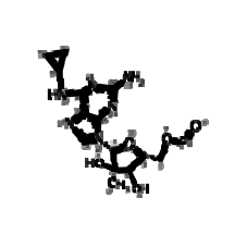 C[C@@]1(O)[C@H](O)[C@@H](COP=O)O[C@H]1n1cnc2c(NC3CC3)nc(N)nc21